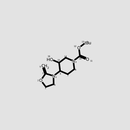 C=C1OCCN1C1CCN(C(=O)OC(C)(C)C)CC1O